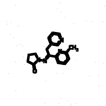 Cc1cccc(/C(Cc2cccnc2)=N/N2CCCC2=O)n1